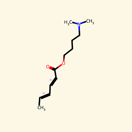 C/C=C/C=C/C(=O)OCCCCN(C)C